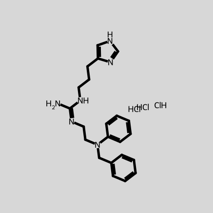 Cl.Cl.Cl.NC(=NCCN(Cc1ccccc1)c1ccccc1)NCCCc1c[nH]cn1